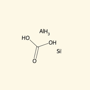 O=C(O)O.[AlH3].[Si]